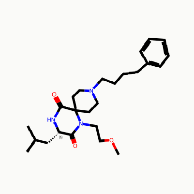 COCCN1C(=O)[C@H](CC(C)C)NC(=O)C12CCN(CCCCc1ccccc1)CC2